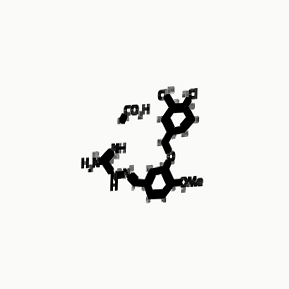 CC(=O)O.COc1ccc(/C=N/NC(=N)N)cc1OCc1ccc(Cl)c(Cl)c1